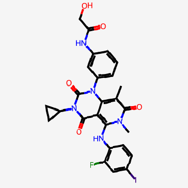 Cc1c(=O)n(C)c(Nc2ccc(I)cc2F)c2c(=O)n(C3CC3)c(=O)n(-c3cccc(NC(=O)CO)c3)c12